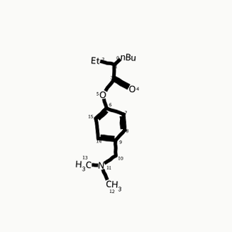 CCCCC(CC)C(=O)Oc1ccc(CN(C)C)cc1